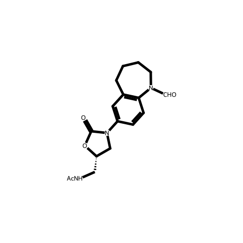 CC(=O)NC[C@H]1CN(c2ccc3c(c2)CCCCN3C=O)C(=O)O1